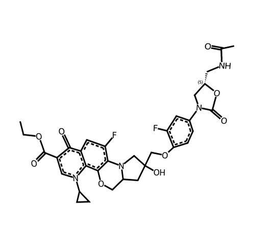 CCOC(=O)c1cn(C2CC2)c2c3c(c(F)cc2c1=O)N1CC(O)(COc2ccc(N4C[C@H](CNC(C)=O)OC4=O)cc2F)CC1CO3